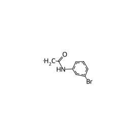 [CH2]C(=O)Nc1cccc(Br)c1